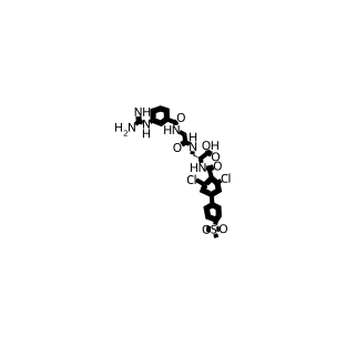 CS(=O)(=O)c1ccc(-c2cc(Cl)c(C(=O)N[C@H](CNC(=O)CNC(=O)c3cccc(NC(=N)N)c3)C(=O)O)c(Cl)c2)cc1